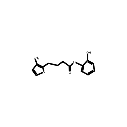 Cc1ccsc1CCCC(=O)Oc1ccccc1O